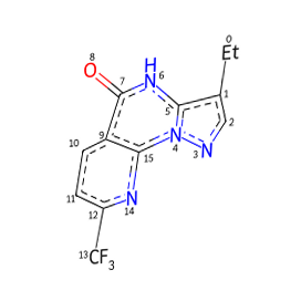 CCc1cnn2c1[nH]c(=O)c1ccc(C(F)(F)F)nc12